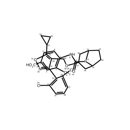 Cc1cc(C(=O)O)ccc1NC(=O)N1C2CCC1CC(OCc1c(-c3c(Cl)cccc3Cl)noc1C1CC1)C2